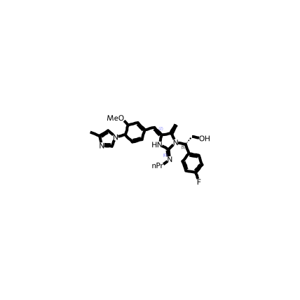 C=c1/c(=C/C2=CC(OC)C(n3cnc(C)c3)C=C2)[nH]/c(=N\CCC)n1[C@H](CO)c1ccc(F)cc1